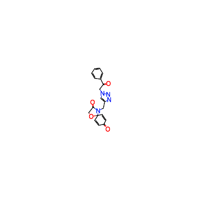 O=C1C=CC2(C=C1)OCC(=O)N2Cc1cn(CC(=O)c2ccccc2)nn1